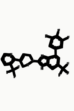 Fc1cc(-c2cc(C(F)(F)F)cc3[nH]c(N4CC=C(c5ncccc5C(F)(F)F)CC4)nc23)cc(F)c1F